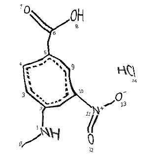 CNc1ccc(C(=O)O)cc1[N+](=O)[O-].Cl